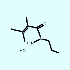 CCCN(N)C(=O)C(C)=C(C)C.Cl